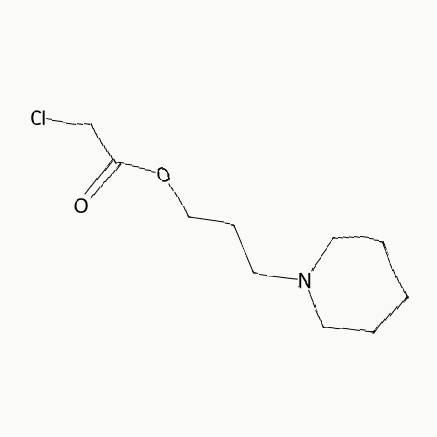 O=C(CCl)OCCCN1CCCCC1